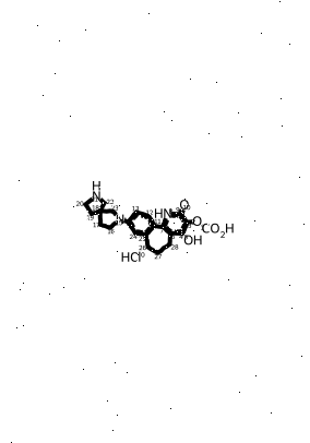 Cl.O=C(O)Oc1c(O)c2c([nH]c1=O)-c1ccc(N3CCC4(CCNC4)C3)cc1CCC2